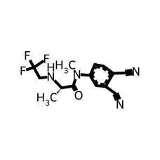 C[C@H](NCC(F)(F)F)C(=O)N(C)c1ccc(C#N)c(C#N)c1